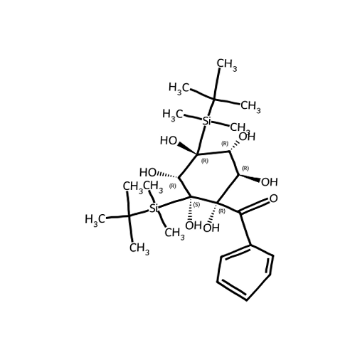 CC(C)(C)[Si](C)(C)[C@]1(O)[C@H](O)[C@@H](O)[C@@](O)(C(=O)c2ccccc2)[C@@](O)([Si](C)(C)C(C)(C)C)[C@@H]1O